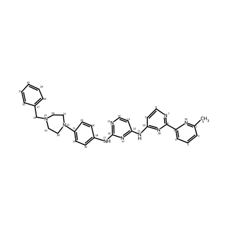 Cc1cccc(-c2nccc(Nc3ccnc(Nc4ccc(N5CCN(Cc6ccccc6)CC5)cc4)n3)n2)n1